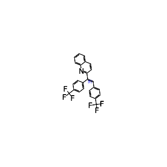 FC(F)(F)c1ccc(/C=C(\c2ccc(C(F)(F)F)cc2)c2ccc3ccccc3n2)cc1